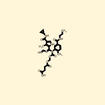 CCCNC(=O)c1ccc(C)c(N(C(=O)OCOC(=O)CCC(=O)O)/C(=N/C=N)c2[nH]cc(C(=O)NC3CC3)c2C)c1